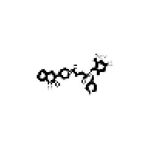 Cc1cc(Cl)c2[nH]ncc2c1CN(Cc1ccncc1)C(=O)CCC(=O)N1CCC(c2cc3ccccc3[nH]c2=O)CC1